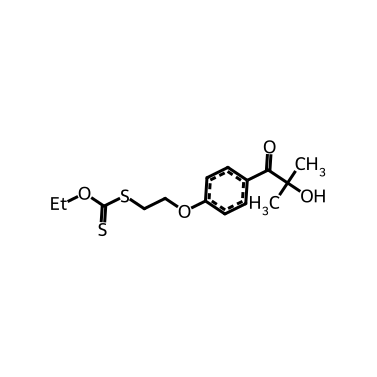 CCOC(=S)SCCOc1ccc(C(=O)C(C)(C)O)cc1